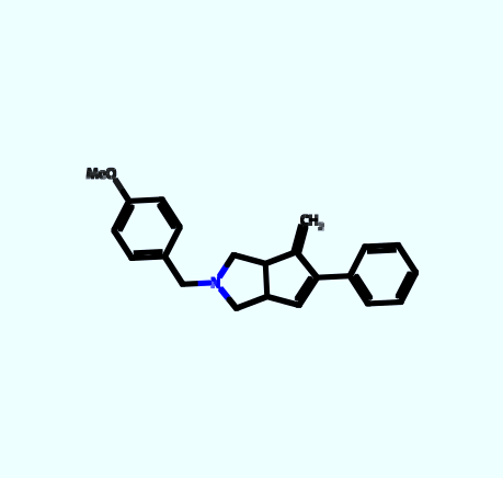 C=C1C(c2ccccc2)=CC2CN(Cc3ccc(OC)cc3)CC12